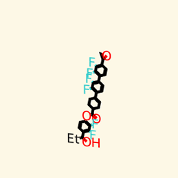 CCC(O)c1ccc(OC(=O)C2CC=C(c3ccc(-c4ccc(C5CO5)c(F)c4F)c(F)c3F)CC2)c(F)c1F